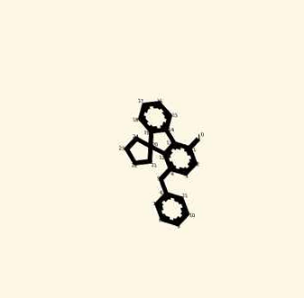 Ic1ccc(Cc2ccccc2)c2c1-c1ccccc1C21CCCC1